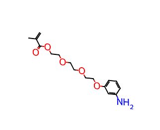 C=C(C)C(=O)OCCOCCOCCOc1cccc(N)c1